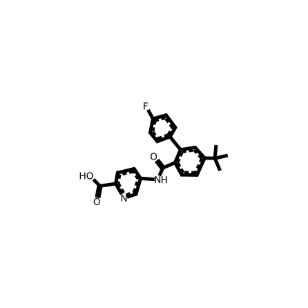 CC(C)(C)c1ccc(C(=O)Nc2ccc(C(=O)O)nc2)c(-c2ccc(F)cc2)c1